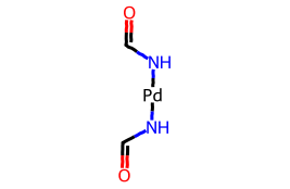 O=C[NH][Pd][NH]C=O